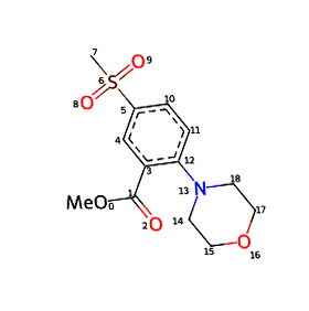 COC(=O)c1cc(S(C)(=O)=O)ccc1N1CCOCC1